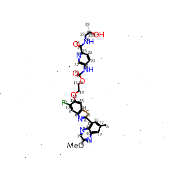 COc1cnc2c(-c3nc4cc(F)c(OCCOC(=O)Nc5ccc(C(=O)NC[C@H](C)O)nc5)cc4s3)cc(C)cc2n1